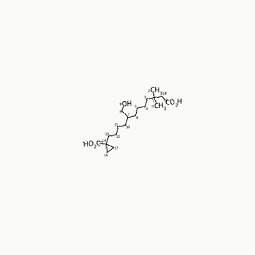 CC(C)(CCCCC(CO)CCCCC1(C(=O)O)CC1)CC(=O)O